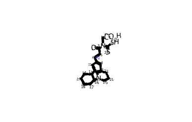 O=C(O)CN(C(=O)/C=C/c1cc2c3c(c1)C1CCCCC1N3CCC2)C(=S)S